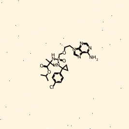 CC(C)OC(=O)C(C)(C)NP(=O)(CO[C@H](C)Cn1cnc2c(N)ncnc21)NC1(c2ccc(Cl)cc2)CC1